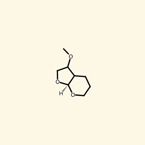 COC1CO[C@@H]2OCCCC12